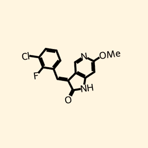 COc1cc2c(cn1)C(=Cc1cccc(Cl)c1F)C(=O)N2